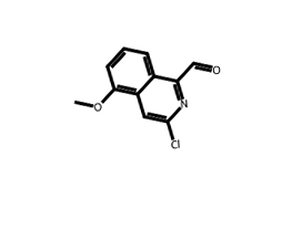 COc1cccc2c(C=O)nc(Cl)cc12